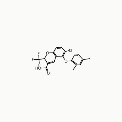 Cc1ccc(Oc2c(Cl)ccc3c2C=C(C(=O)O)C(C(F)(F)F)O3)c(C)c1